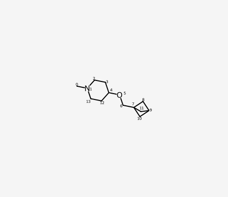 CN1CCC(OCC23CC(C2)C3)CC1